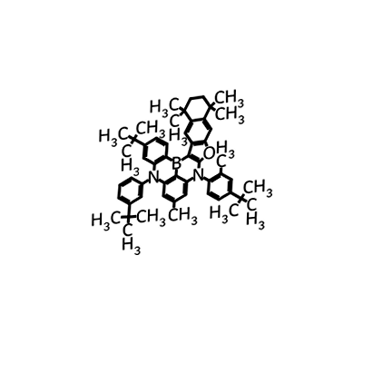 Cc1cc2c3c(c1)N(c1ccc(C(C)(C)C)cc1C)c1oc4cc5c(cc4c1B3c1ccc(C(C)(C)C)cc1N2c1cccc(C(C)(C)C)c1)C(C)(C)CCC5(C)C